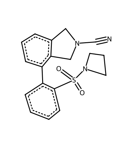 N#CN1Cc2cccc(-c3ccccc3S(=O)(=O)N3CCC3)c2C1